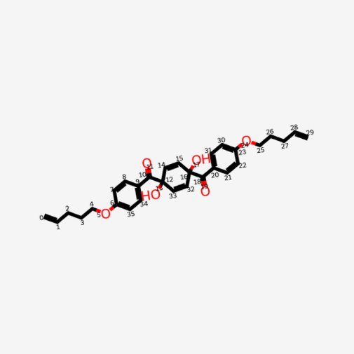 C=CCCCOc1ccc(C(=O)C2(O)C=CC(O)(C(=O)c3ccc(OCCCC=C)cc3)C=C2)cc1